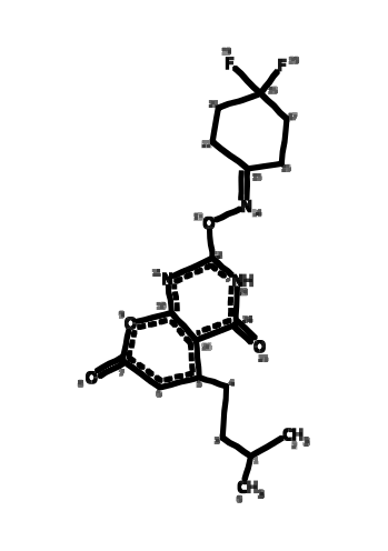 CC(C)CCc1cc(=O)oc2nc(ON=C3CCC(F)(F)CC3)[nH]c(=O)c12